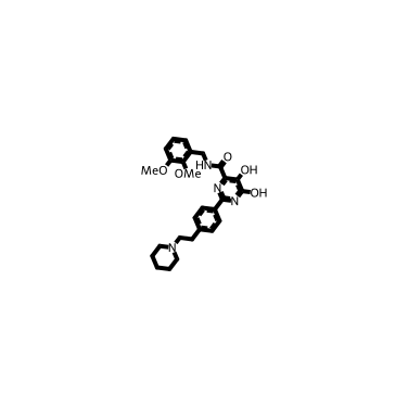 COc1cccc(CNC(=O)c2nc(-c3ccc(CCN4CCCCC4)cc3)nc(O)c2O)c1OC